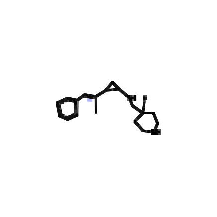 C/C(=C\c1ccccc1)C1CC1NCC1(F)CCNCC1